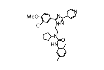 COc1ccc(-c2nc(-c3ccncc3)nn2CCN(C(=O)Nc2cc(C)ccc2C)C2CCCC2)cc1Cl